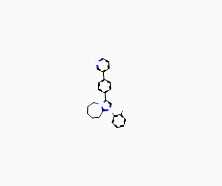 COc1ccccc1-n1cc(-c2ccc(-c3cccnc3)cc2)[n+]2c1CCCCC2